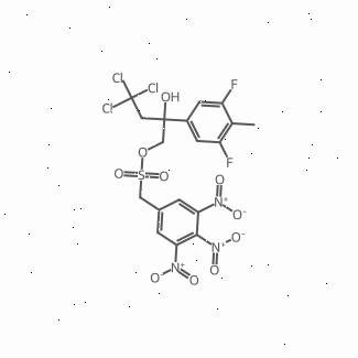 Cc1c(F)cc(C(O)(COS(=O)(=O)Cc2cc([N+](=O)[O-])c([N+](=O)[O-])c([N+](=O)[O-])c2)CC(Cl)(Cl)Cl)cc1F